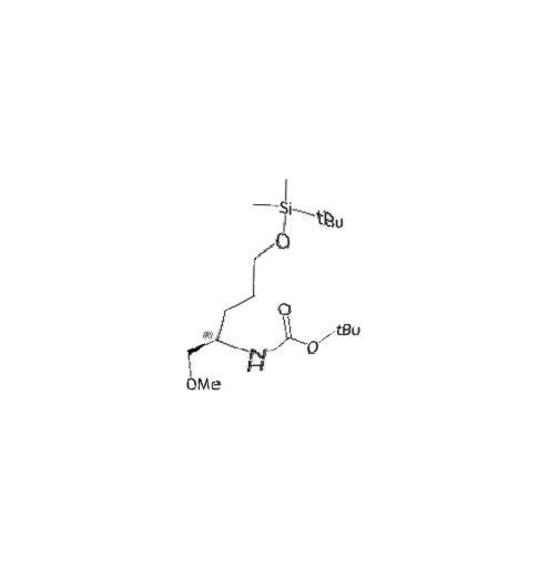 COC[C@@H](CCCO[Si](C)(C)C(C)(C)C)NC(=O)OC(C)(C)C